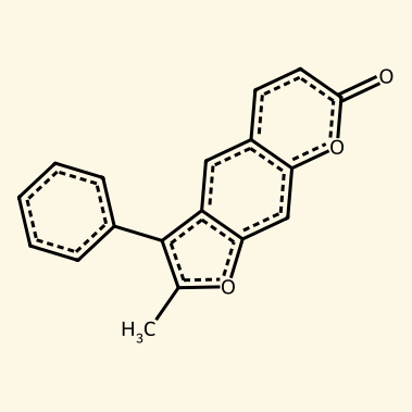 Cc1oc2cc3oc(=O)ccc3cc2c1-c1ccccc1